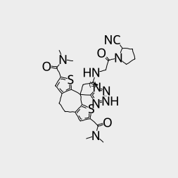 C[C@@H](CC1(c2nn[nH]n2)c2sc(C(=O)N(C)C)cc2CCc2cc(C(=O)N(C)C)sc21)NCC(=O)N1CCCC1C#N